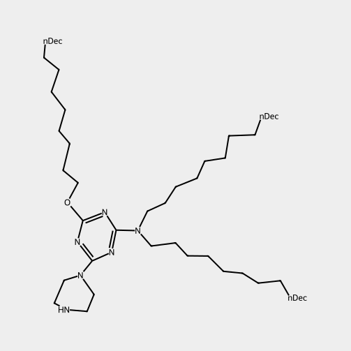 CCCCCCCCCCCCCCCCCCOc1nc(N(CCCCCCCCCCCCCCCCCC)CCCCCCCCCCCCCCCCCC)nc(N2CCNCC2)n1